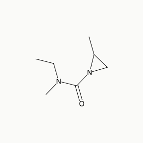 CCN(C)C(=O)N1CC1C